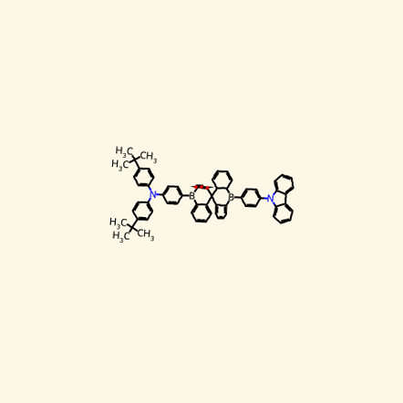 CC(C)(C)c1ccc(N(c2ccc(B3c4ccccc4C4(c5ccccc5B(c5ccc(-n6c7ccccc7c7ccccc76)cc5)C5C=CC=CC54)C4C=CC=CC34)cc2)c2ccc(C(C)(C)C)cc2)cc1